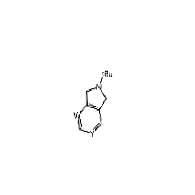 CC(C)(C)N1CC2=[C](C1)[W]=[CH][Y]=[CH]2